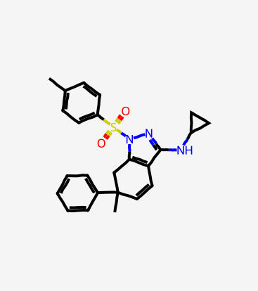 Cc1ccc(S(=O)(=O)n2nc(NC3CC3)c3c2CC(C)(c2ccccc2)C=C3)cc1